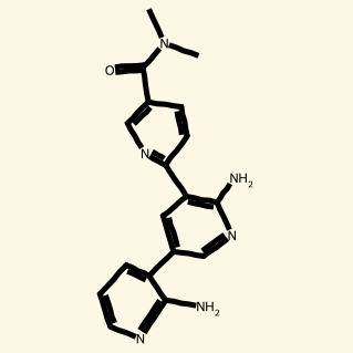 CN(C)C(=O)c1ccc(-c2cc(-c3cccnc3N)cnc2N)nc1